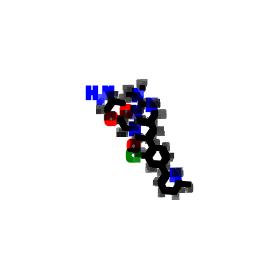 Cc1cccc(-c2ccc(-c3cc4cnc(N(C)C)nc4n(CC4OCC(N)CO4)c3=O)c(Cl)c2)n1